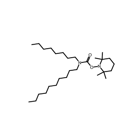 CCCCCCCCCCN(CCCCCCCC)C(=O)ON1C(C)(C)CCCC1(C)C